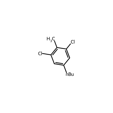 CCCCc1cc(Cl)c(C)c(Cl)c1